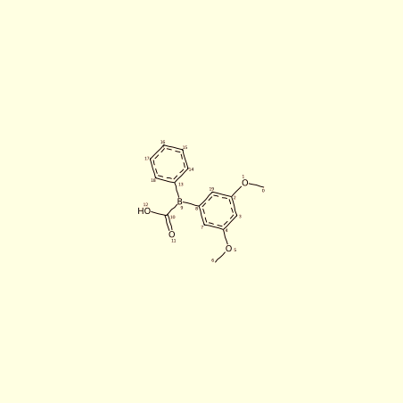 COc1cc(OC)cc(B(C(=O)O)c2cc[c]cc2)c1